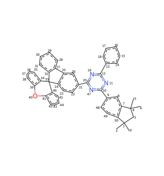 CC1(C)CC(C)(C)c2cc(-c3nc(-c4ccccc4)nc(-c4ccc5c(c4)-c4ccccc4C54c5ccccc5Oc5ccccc54)n3)ccc21